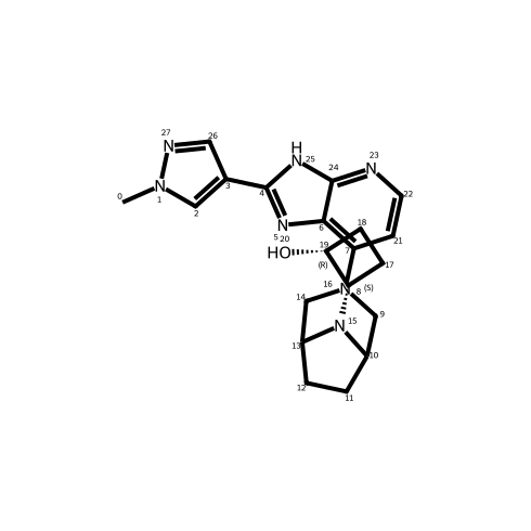 Cn1cc(-c2nc3c(N4CC5CCC(C4)N5[C@H]4CC[C@H]4O)ccnc3[nH]2)cn1